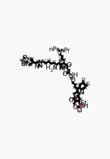 CCCN(CCC)CCCC[C@H](C(=O)NCC(=O)NCOCCCc1c2c(nc3cc(F)c(C)cc13)-c1cc3c(c(=O)n1C2)COC(=O)[C@]3(O)CC)C(N)[C@@H](C(C)C)C(N)CCCCCn1cc(-c2cnc(S(C)(=O)=O)nc2)nn1